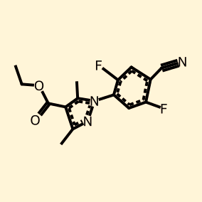 CCOC(=O)c1c(C)nn(-c2cc(F)c(C#N)cc2F)c1C